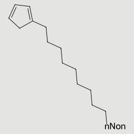 CCCCCCCCCCCCCCCCCCC1=CC=CC1